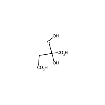 O=C(O)CC(O)(OO)C(=O)O